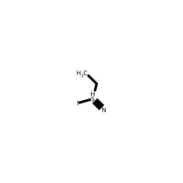 CC[SH](#N)I